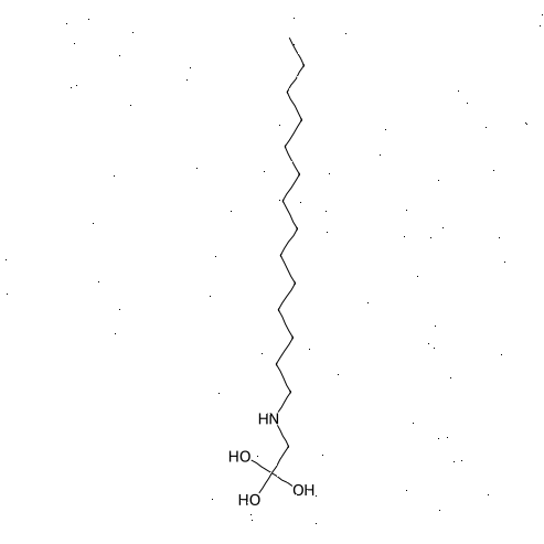 CCCCCCCCCCCCCCNCC(O)(O)O